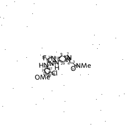 CNC(=O)CCn1ncc2ccc(Nc3ncc(F)c(Nc4ccc(OC)c(Cl)c4)n3)cc21